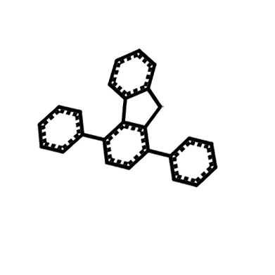 [CH]1c2ccccc2-c2c(-c3ccccc3)ccc(-c3ccccc3)c21